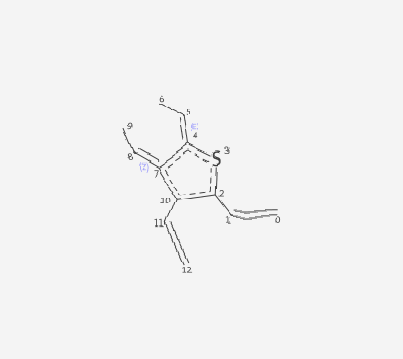 C=Cc1sc(=C/C)/c(=C\C)c1C=C